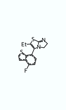 CCC1=C(c2ccc(F)c3ccsc23)N2CCN=C2S1